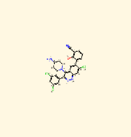 N#Cc1cccc(-c2cc3c(N4CCC(N)CC4)c(-c4cc(Cl)cc(Cl)c4)nnc3cc2Cl)c1O